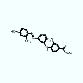 COC(=O)c1ccc(Nc2cccc(N=Nc3ccc(O)cc3C)c2)c([N+](=O)[O-])c1